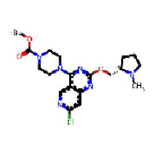 CN1CCC[C@H]1COc1nc(N2CCN(C(=O)OC(C)(C)C)CC2)c2cnc(Cl)cc2n1